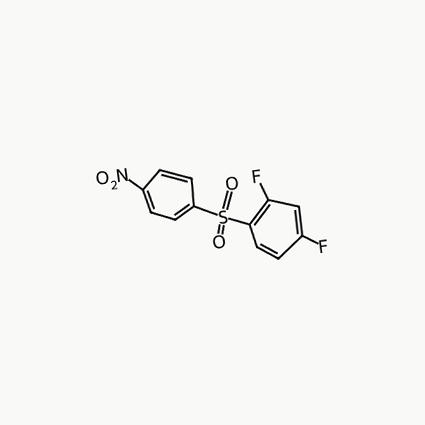 O=[N+]([O-])c1ccc(S(=O)(=O)c2ccc(F)cc2F)cc1